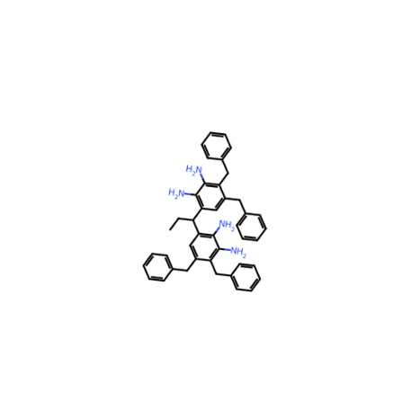 CCC(c1cc(Cc2ccccc2)c(Cc2ccccc2)c(N)c1N)c1cc(Cc2ccccc2)c(Cc2ccccc2)c(N)c1N